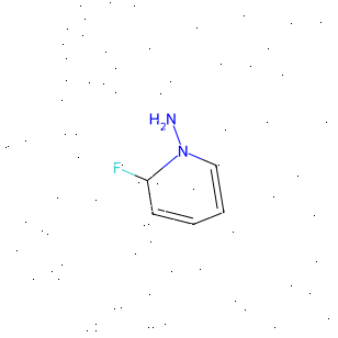 NN1C=CC=CC1F